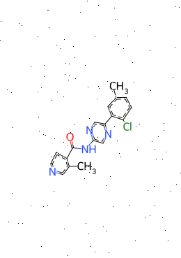 Cc1ccc(Cl)c(-c2cnc(NC(=O)c3ccncc3C)cn2)c1